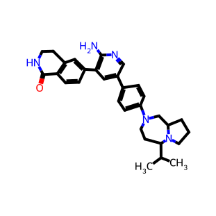 CC(C)C1CCN(c2ccc(-c3cnc(N)c(-c4ccc5c(c4)CCNC5=O)c3)cc2)CC2CCCN21